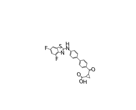 O=C(O)C1CC1C(=O)c1ccc(-c2ccc(Nc3nc4c(F)cc(F)cc4s3)cc2)cc1